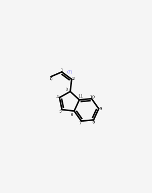 C/C=C\C1C=Cc2ccccc21